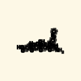 CC(C)Oc1c(NC(=O)c2ccc(NC(=O)C(CC(N)=O)NC(=O)c3ccc(/N=N/c4ccccc4)cc3)cc2)ccc(C(=O)Nc2ccc(C(=O)O)cc2)c1O